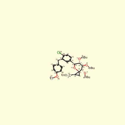 CCCCO[C@@H]1[C@@H](OCCCC)[C@H](OCCCC)C2(CC2C(=O)OCC)O[C@H]1c1ccc(Cl)c(Cc2ccc(OCC)cc2)c1